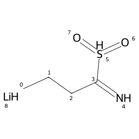 CCCC(=N)[SH](=O)=O.[LiH]